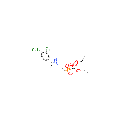 CCOC(OCC)P(=O)(O)CCCNC(C)c1ccc(Cl)c(Cl)c1